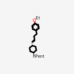 CCCCC[C@H]1CC[C@H](C=CCCc2ccc(OCC)cc2)CC1